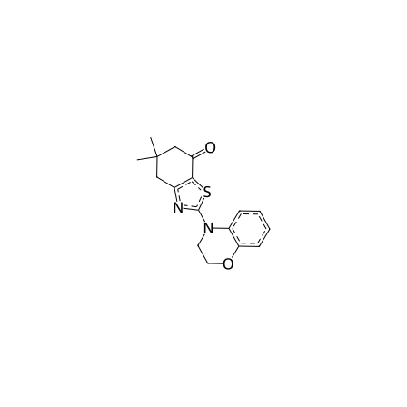 CC1(C)CC(=O)c2sc(N3CCOc4ccccc43)nc2C1